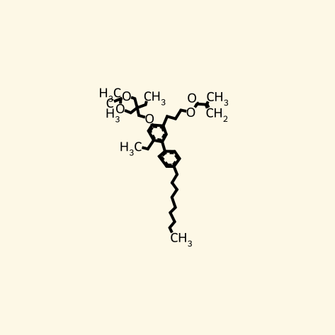 C=C(C)C(=O)OCCCc1cc(-c2ccc(CCCCCCCCC)cc2)c(CC)cc1OCC1(CC)COC(C)(C)OC1